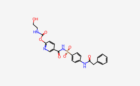 O=C(Cc1ccccc1)Nc1ccc(S(=O)(=O)NC(=O)c2ccc(OC(=O)NCCO)nc2)cc1